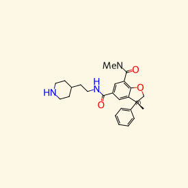 CNC(=O)c1cc(C(=O)NCCC2CCNCC2)cc2c1OC[C@]2(C)c1ccccc1